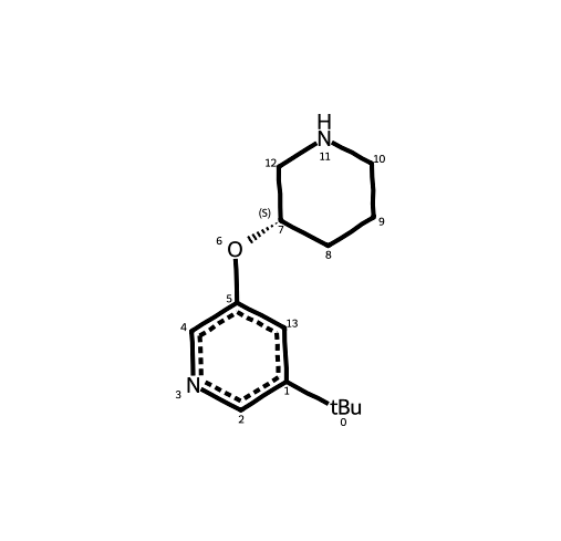 CC(C)(C)c1cncc(O[C@H]2CCCNC2)c1